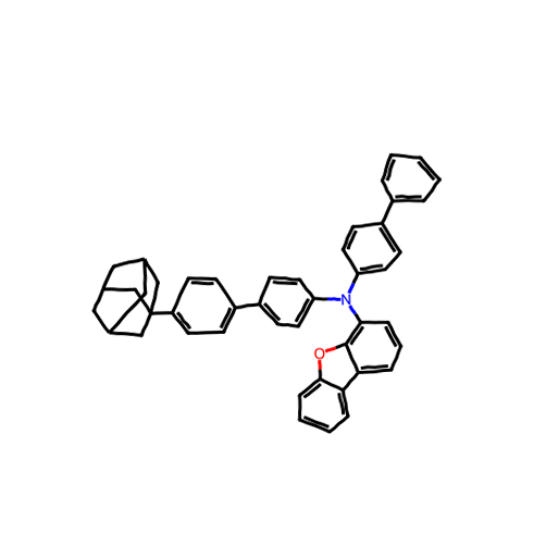 c1ccc(-c2ccc(N(c3ccc(-c4ccc(C56CC7CC(CC(C7)C5)C6)cc4)cc3)c3cccc4c3oc3ccccc34)cc2)cc1